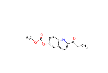 CCC(=O)c1ccc2cc(OC(=O)OC)ccc2n1